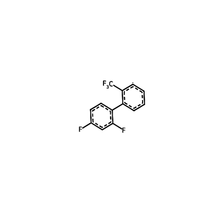 Fc1ccc(-c2ccc[c]c2C(F)(F)F)c(F)c1